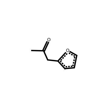 CC(=O)Cc1[c]cco1